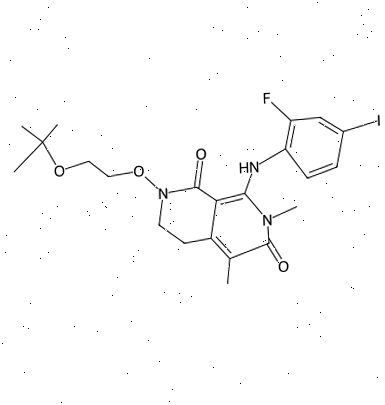 Cc1c2c(c(Nc3ccc(I)cc3F)n(C)c1=O)C(=O)N(OCCOC(C)(C)C)CC2